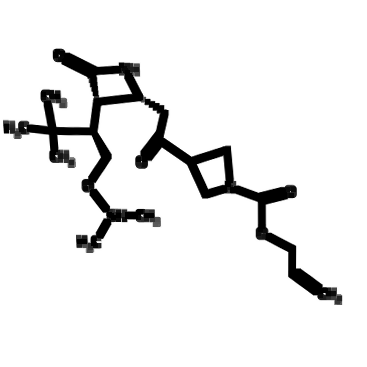 C=CCOC(=O)N1CC(C(=O)C[C@H]2NC(=O)[C@H]2[C@@H](CO[SiH](C)C)C(C)(C)C)C1